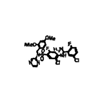 COc1ccc(CN(c2cnccn2)S(=O)(=O)c2cc(Cl)c(N[C@@H](N)c3cc(Cl)ccc3F)cc2F)c(OC)c1